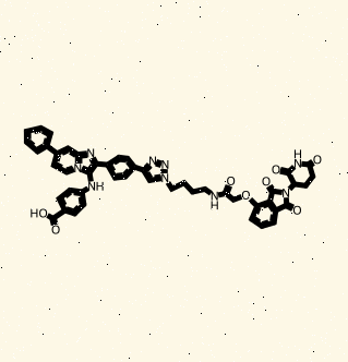 O=C(COc1cccc2c1C(=O)N(C1CCC(=O)NC1=O)C2=O)NCCCCn1cc(-c2ccc(-c3nc4cc(-c5ccccc5)ccn4c3Nc3ccc(C(=O)O)cc3)cc2)nn1